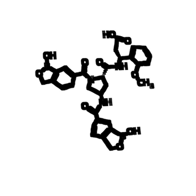 COc1ccccc1[C@H](CC(=O)O)NC(=O)[C@@H]1C[C@@H](NC(=O)c2ccc3c(c2)B(O)OC3)CN1C(=O)c1ccc2c(c1)B(O)OC2